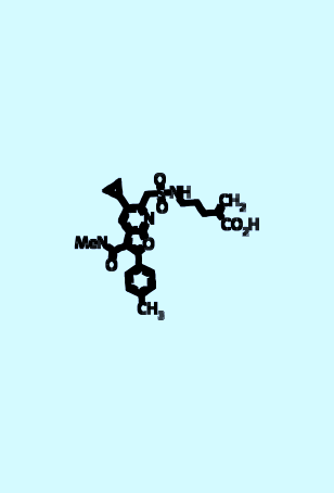 C=C(CCCNS(=O)(=O)Cc1nc2oc(-c3ccc(C)cc3)c(C(=O)NC)c2cc1C1CC1)C(=O)O